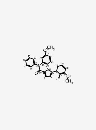 COC1=C(F)C(c2ccc(C(=O)N(c3ccccc3)c3cccc(OC)c3)s2)CC=C1